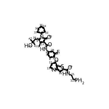 Cc1c(C(=O)Nc2ccc(Oc3ccnc4cc(C(=O)NCCP)sc34)c(F)c2)c(=O)n(-c2ccccc2)n1CC(C)(C)O